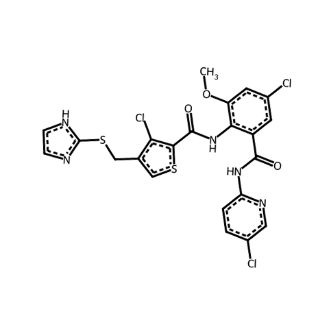 COc1cc(Cl)cc(C(=O)Nc2ccc(Cl)cn2)c1NC(=O)c1scc(CSc2ncc[nH]2)c1Cl